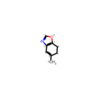 CC1=Cc2ncoc2CC1